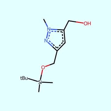 Cn1nc(CO[Si](C)(C)C(C)(C)C)cc1CO